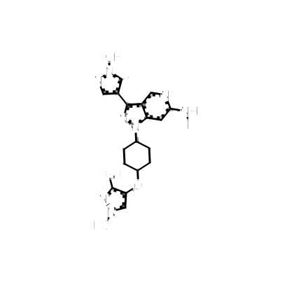 CCNc1cc2c(cn1)c(-c1cnn(C)c1)nn2C1CCC(Oc2cn(C)nc2C)CC1